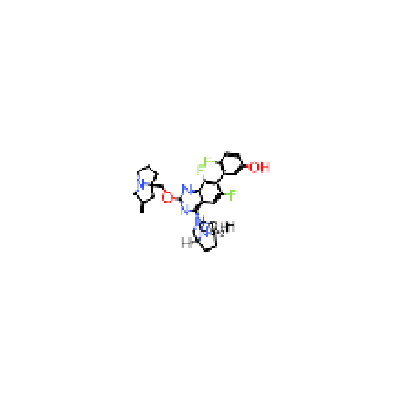 C=C1CN2CCCC2(COc2nc(N3C[C@H]4CC[C@@H](C3)N4C(=O)O)c3cc(F)c(-c4cc(O)ccc4F)c(F)c3n2)C1